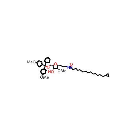 COc1ccc(C(OC[C@H]2O[C@@H](CCCNC(=O)CCCCCCCCCCCCCC3CC3)[C@H](OC)[C@@H]2O)(c2ccccc2)c2ccc(OC)cc2)cc1